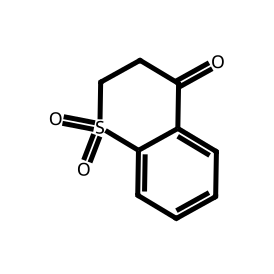 O=C1CCS(=O)(=O)c2ccccc21